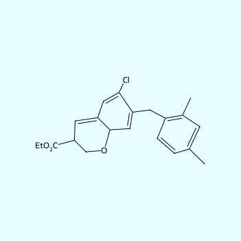 CCOC(=O)C1C=C2C=C(Cl)C(Cc3ccc(C)cc3C)=CC2OC1